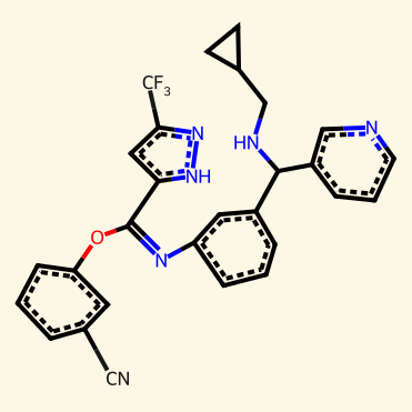 N#Cc1cccc(OC(=Nc2cccc(C(NCC3CC3)c3cccnc3)c2)c2cc(C(F)(F)F)n[nH]2)c1